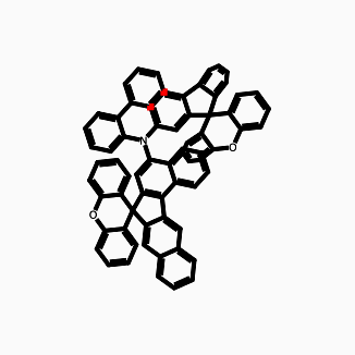 c1ccc(-c2ccccc2N(c2ccc3c(c2)C2(c4ccccc4Oc4ccccc42)c2ccccc2-3)c2cc3c(c4ccccc24)-c2cc4ccccc4cc2C32c3ccccc3Oc3ccccc32)cc1